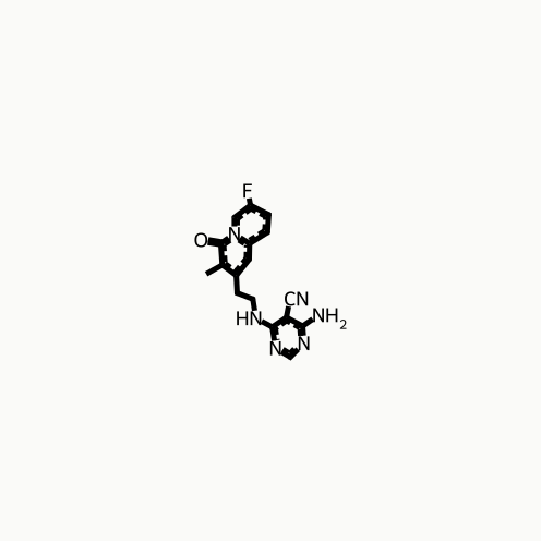 Cc1c(CCNc2ncnc(N)c2C#N)cc2ccc(F)cn2c1=O